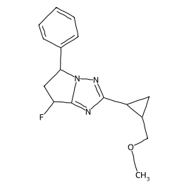 COCC1CC1c1nc2n(n1)C(c1ccccc1)CC2F